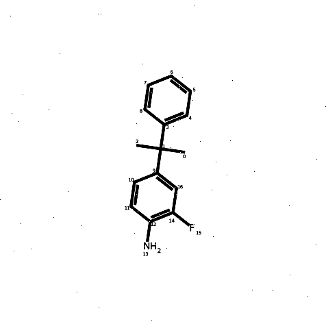 CC(C)(c1ccccc1)c1ccc(N)c(F)c1